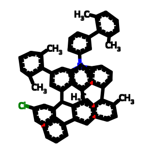 Cc1cccc(C)c1-c1cccc(N(c2cccc(-c3c(C)cccc3C)c2)c2cc(-c3c(C)cccc3C)cc(C(c3cccc(Cl)c3)c3c(-c4ccccc4)cccc3-c3ccccc3)c2)c1